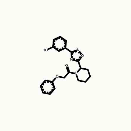 O=C(COc1ccccc1)N1CCCCC1c1nc(-c2cccc(O)c2)no1